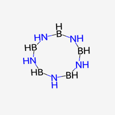 B1NBNBNBNBN1